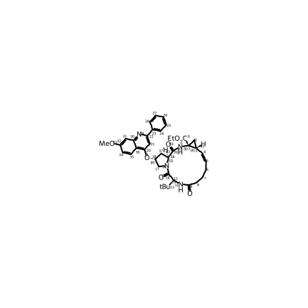 CCOC(=O)[C@@]12C[C@@H]1C=CCCCC(=O)N[C@@H](C(C)(C)C)C(=O)N1C[C@H](Oc3cc(-c4ccccc4)nc4cc(OC)ccc34)C[C@H]1C(=O)N2